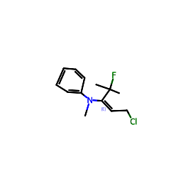 CN(/C(=C/CCl)C(C)(C)F)c1ccccc1